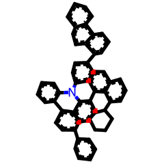 c1ccc(-c2ccc(-c3ccccc3N(c3ccc(-c4cccc5c4ccc4ccccc45)cc3)c3ccccc3-c3cccc4cccc(C5CCCCC5)c34)cc2)cc1